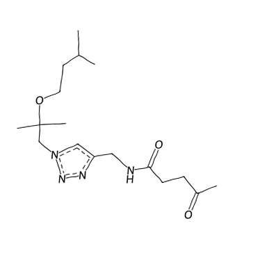 CC(=O)CCC(=O)NCc1cn(CC(C)(C)OCCC(C)C)nn1